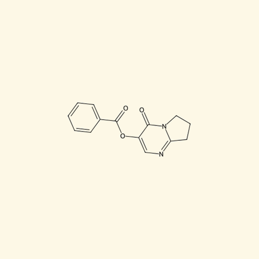 O=C(Oc1cnc2n(c1=O)CCC2)c1ccccc1